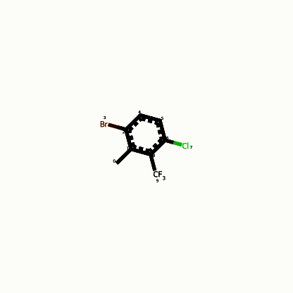 Cc1c(Br)ccc(Cl)c1C(F)(F)F